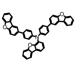 c1ccc2c(c1)oc1ccc(-c3ccc(N(c4ccc(-c5ccc6oc7ccccc7c6c5)cc4)c4cccc5c4oc4ccccc45)cc3)cc12